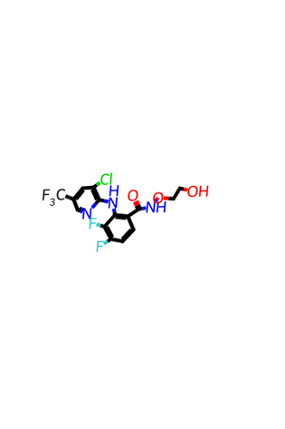 O=C(NOCCO)c1ccc(F)c(F)c1Nc1ncc(C(F)(F)F)cc1Cl